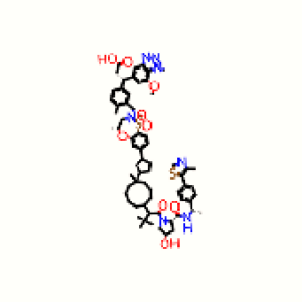 COc1cc([C@@H](CC(=O)O)c2ccc(C)c(CN3C[C@@H](C)Oc4cc(C5CCC(C6(C)CCCCC(C(C(=O)N7C[C@H](O)C[C@H]7C(=O)N[C@@H](C)c7ccc(-c8scnc8C)cc7)C(C)(C)C)CCC6)C5)ccc4S3(=O)=O)c2)cc2nnn(C)c12